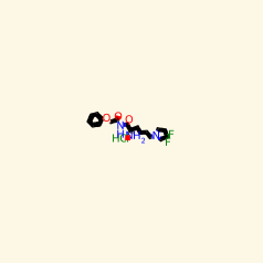 Cl.N[C@@H](CCCCN1CCC(F)(F)C1)C(=O)NC(=O)COc1ccccc1